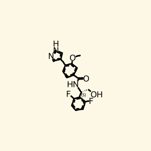 COc1cc(C(=O)N[C@H](CO)c2c(F)cccc2F)ccc1-c1cn[nH]c1